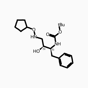 CC(C)(C)OC(=O)N[C@@H](Cc1ccccc1)[C@@H](O)CNOC1CCCC1